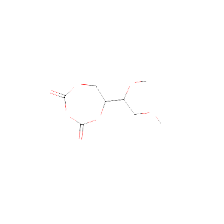 O=C(O)OCC(OC(=O)O)C1COC(=O)OC(=O)O1